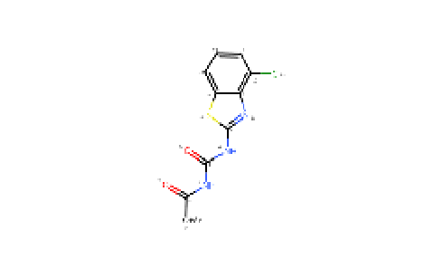 COC(=O)NC(=O)Nc1nc2c(Cl)cccc2s1